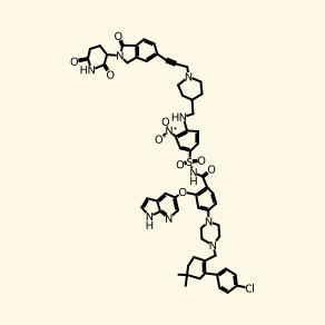 CC1(C)CCC(CN2CCN(c3ccc(C(=O)NS(=O)(=O)c4ccc(NCC5CCN(CC#Cc6ccc7c(c6)CN(C6CCC(=O)NC6=O)C7=O)CC5)c([N+](=O)[O-])c4)c(Oc4cnc5[nH]ccc5c4)c3)CC2)=C(c2ccc(Cl)cc2)C1